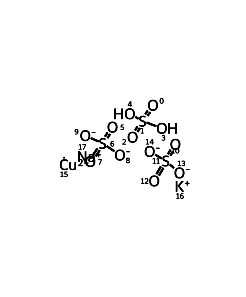 O=S(=O)(O)O.O=S(=O)([O-])[O-].O=S(=O)([O-])[O-].[Cu+2].[K+].[Na+]